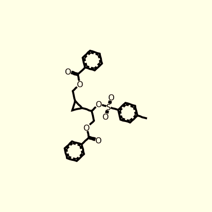 Cc1ccc(S(=O)(=O)OC(COC(=O)c2ccccc2)C2CC2COC(=O)c2ccccc2)cc1